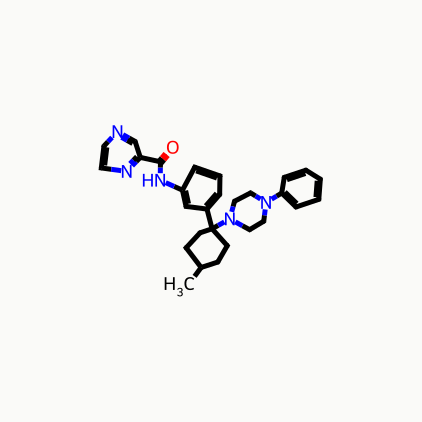 CC1CCC(c2cccc(NC(=O)c3cnccn3)c2)(N2CCN(c3ccccc3)CC2)CC1